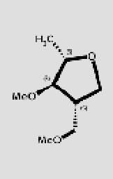 COC[C@H]1CO[C@@H](C)[C@@H]1OC